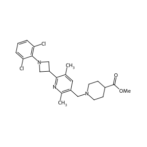 COC(=O)C1CCN(Cc2cc(C)c(C3CN(c4c(Cl)cccc4Cl)C3)nc2C)CC1